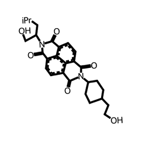 CC(C)CC(CO)N1C(=O)c2ccc3c4c(ccc(c24)C1=O)C(=O)N(C1CCC(CCO)CC1)C3=O